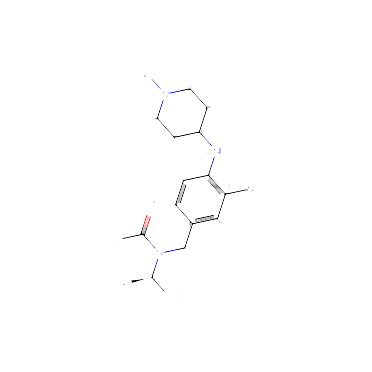 C[C@H](N(Cc1ccc(NC2CCN(C(C)(C)C)CC2)c([N+](=O)[O-])c1)C(=O)C(F)(F)F)C(C)(C)C